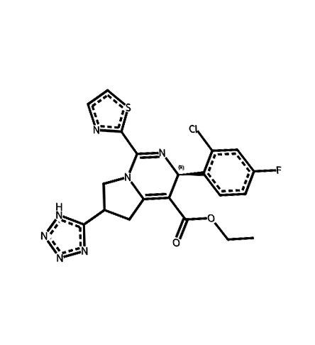 CCOC(=O)C1=C2CC(c3nnn[nH]3)CN2C(c2nccs2)=N[C@H]1c1ccc(F)cc1Cl